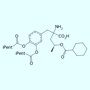 CCCC(C)C(=O)Oc1ccc(CC(N)(C[C@H](C)OC(=O)C2CCCCC2)C(=O)O)cc1OC(=O)C(C)CCC